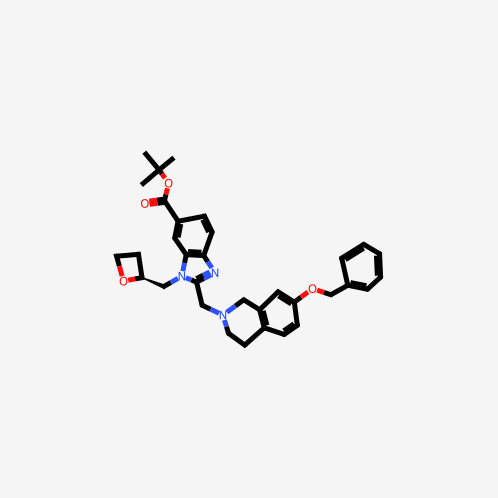 CC(C)(C)OC(=O)c1ccc2nc(CN3CCc4ccc(OCc5ccccc5)cc4C3)n(C[C@@H]3CCO3)c2c1